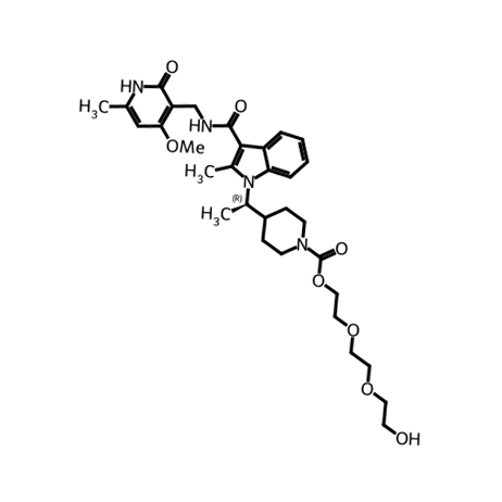 COc1cc(C)[nH]c(=O)c1CNC(=O)c1c(C)n([C@H](C)C2CCN(C(=O)OCCOCCOCCO)CC2)c2ccccc12